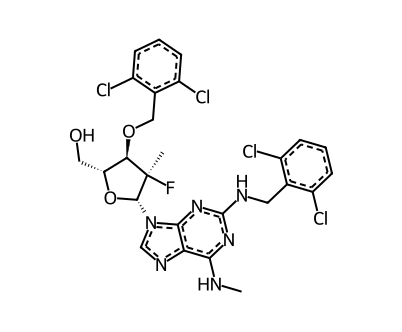 CNc1nc(NCc2c(Cl)cccc2Cl)nc2c1ncn2[C@@H]1O[C@H](CO)[C@@H](OCc2c(Cl)cccc2Cl)[C@@]1(C)F